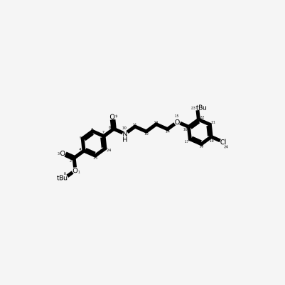 CC(C)(C)OC(=O)c1ccc(C(=O)NCCCCOc2ccc(Cl)cc2C(C)(C)C)cc1